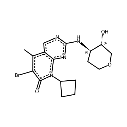 Cc1c(Br)c(=O)n(C2CCC2)c2nc(N[C@@H]3CCOC[C@H]3O)ncc12